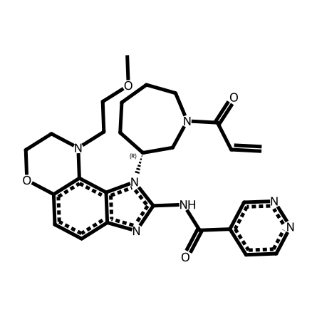 C=CC(=O)N1CCCC[C@@H](n2c(NC(=O)c3ccnnc3)nc3ccc4c(c32)N(CCOC)CCO4)C1